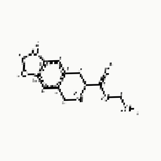 CCOC(=O)C1Cc2cc3c(cc2CN1)OCO3